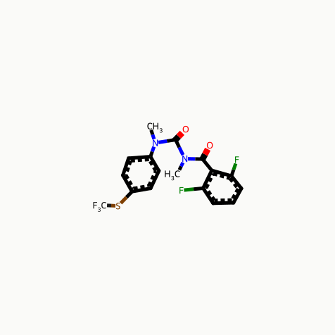 CN(C(=O)c1c(F)cccc1F)C(=O)N(C)c1ccc(SC(F)(F)F)cc1